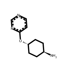 N[C@H]1CC[C@H](Oc2ccncn2)CC1